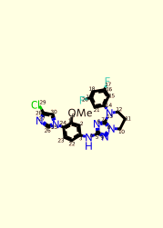 COc1cc(Nc2nc3n(n2)CCCN3c2cc(F)cc(F)c2)ccc1-n1cnc(Cl)c1